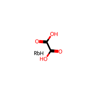 O=C(O)C(=O)O.[RbH]